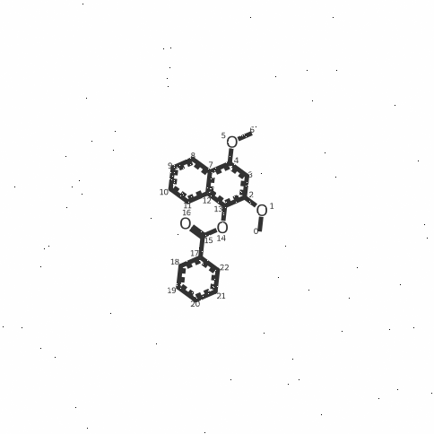 COc1cc(OC)c2ccccc2c1OC(=O)c1ccccc1